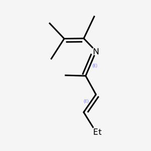 CC/C=C/C(C)=N/C(C)=C(C)C